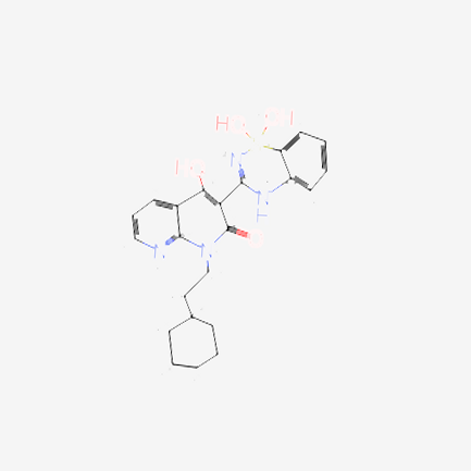 O=c1c(C2=NS(O)(O)c3ccccc3N2)c(O)c2cccnc2n1CCC1CCCCC1